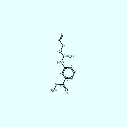 C=CCOC(=O)Nc1cccc(C(=O)CBr)c1